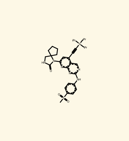 CC(C)[Si](C#Cc1cc(N2C(=O)NCC23CCCC3)nc2nc(Nc3ccc(S(C)(=O)=O)cc3)ncc12)(C(C)C)C(C)C